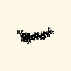 CCNC(=O)Nc1cccc(-c2cccc(C[C@H](NS(=O)(=O)c3cc(C)ccc3C)C(=O)O)c2)c1